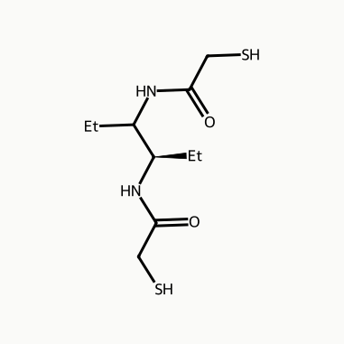 CCC(NC(=O)CS)[C@@H](CC)NC(=O)CS